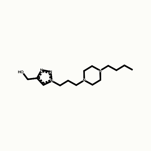 CCCCN1CCN(CCCn2cc(CO)nn2)CC1